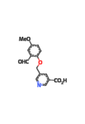 COc1ccc(OCc2cncc(C(=O)O)c2)c(C=O)c1